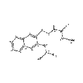 CC(C)(C)OC(=O)NCCc1cc2ccccc2cc1OC(F)F